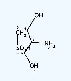 CS(=O)(=O)O.NC(CO)CO